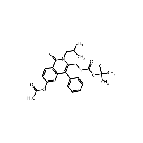 CC(=O)Oc1ccc2c(=O)n(CC(C)C)c(CNC(=O)OC(C)(C)C)c(-c3ccccc3)c2c1